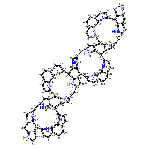 C1=c2c(cc3cc4cc5cc6c7c8[nH]c(cc8c(c8ccc9ccc%10ccc(nc%10c9n8)c2c3[nH]4)c6n5)Cc2cc3c([nH]2)c(c2cc4cc5cc6c(n5)c(c5ccc8ccc9ccc(nc9c8n5)c3c2[nH]4)c2cc3cc4cc5cc8[nH]ccc8c(c8ccc9ccc%10ccc(nc%10c9n8)c6c2[nH]3)c5n4)-c2ccc3ccc4ccc-7nc4c3n2)=NC1